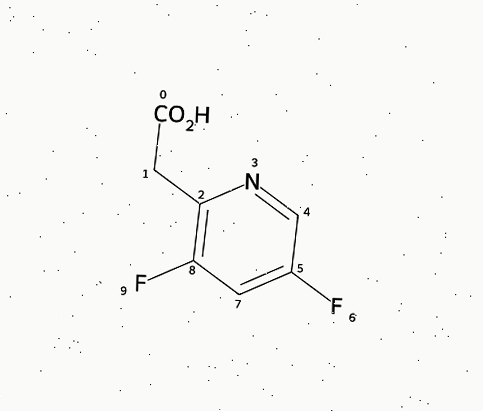 O=C(O)Cc1ncc(F)cc1F